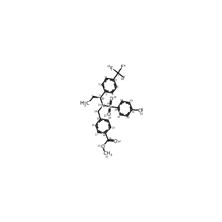 CC[C@@H](c1ccc(C(F)(F)F)cc1)N(Cc1ccc(C(=O)OC)cc1)S(=O)(=O)c1ccc(Cl)cc1